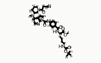 COC(=O)[C@H](CCCCNC(=O)OC(C)(C)C)NC(=O)c1ccc(NC(=O)n2ccc3c(N(C)C4CN(C(=O)CC#N)CC[C@H]4C)ncnc32)cc1